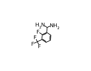 NC(N)c1cccc(C(F)(F)F)c1F